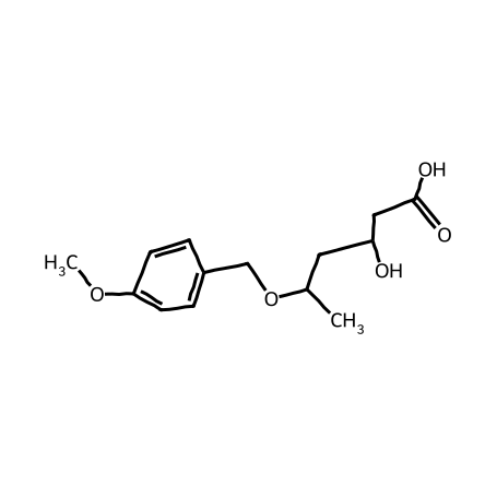 COc1ccc(COC(C)CC(O)CC(=O)O)cc1